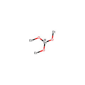 CC[O][SnH]([O]CC)[O]CC